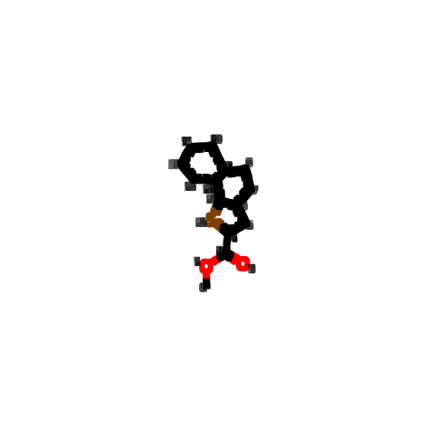 COC(=O)c1cc2ccc3ccccc3c2s1